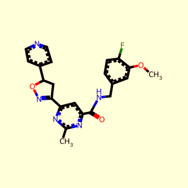 COc1cc(CNC(=O)c2cc(C3=NOC(c4ccncc4)C3)nc(C)n2)ccc1F